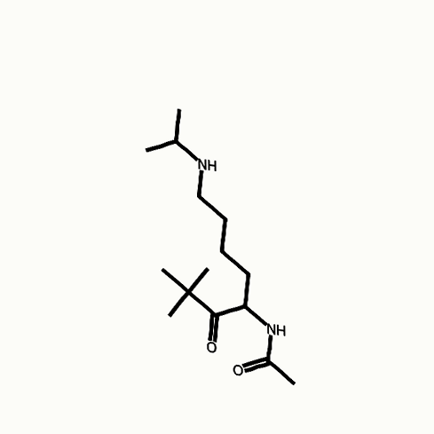 CC(=O)NC(CCCCNC(C)C)C(=O)C(C)(C)C